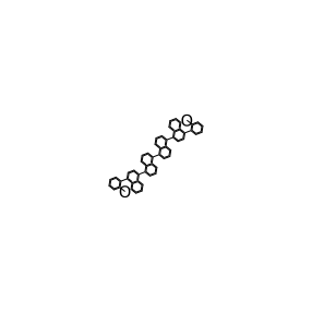 c1ccc2c(c1)Oc1cccc3c(-c4cccc5c(-c6cccc7c(-c8ccc9c%10c(cccc8%10)Oc8ccccc8-9)cccc67)cccc45)ccc-2c13